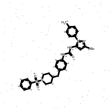 Cc1ccc(-n2nc(C(C)(C)C)cc2NC(=O)Nc2ccc(CC3CCN(S(=O)(=O)c4ccccc4)CC3)cc2)cc1